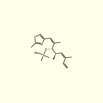 C=CC(C)=C[C@@H](C)[C@H](O[Si](C)(C)C(C)(C)C)C(C)=Cc1csc(C)n1